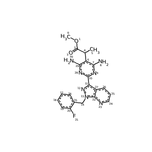 COC(=O)C(C)c1c(N)nc(-c2nn(Cc3ccccc3F)c3ncccc23)nc1N